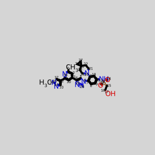 Cc1cc(-c2cn(-c3ccc(NS(=O)(=O)CCO)cc3N3CCC4(CC3)CC4)nn2)cc(-c2cnn(C)c2)n1